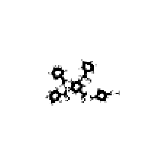 O=C(OCc1ccc(O)cc1)c1cc(OC(=O)c2ccccc2)c(OC(=O)c2ccccc2)c(OC(=O)c2ccccc2)c1